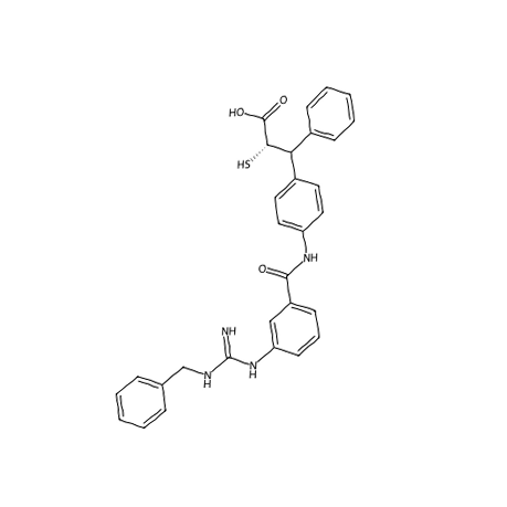 N=C(NCc1ccccc1)Nc1cccc(C(=O)Nc2ccc(C(c3ccccc3)[C@H](S)C(=O)O)cc2)c1